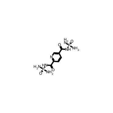 NP(N)(=O)NC(=O)c1ccc(C(=O)NP(N)(N)=O)nc1